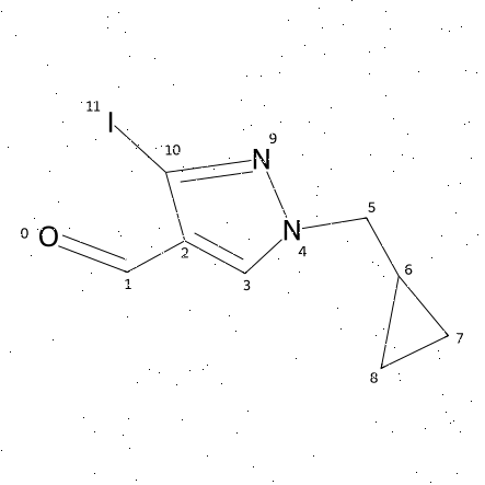 O=Cc1cn(CC2CC2)nc1I